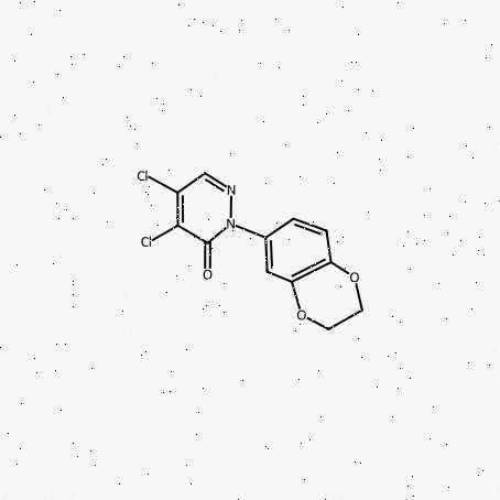 O=c1c(Cl)c(Cl)cnn1-c1ccc2c(c1)OCCO2